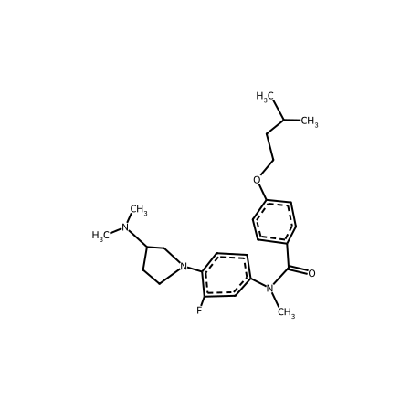 CC(C)CCOc1ccc(C(=O)N(C)c2ccc(N3CCC(N(C)C)C3)c(F)c2)cc1